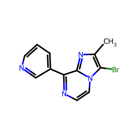 Cc1nc2c(-c3cccnc3)nccn2c1Br